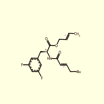 C/C=C/COC(=O)[C@H](Cc1cc(F)cc(F)c1)NC(=O)/C=C/CC(C)CC